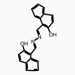 Oc1ccc2ccccc2c1C=NN=Cc1c(O)ccc2ccccc12